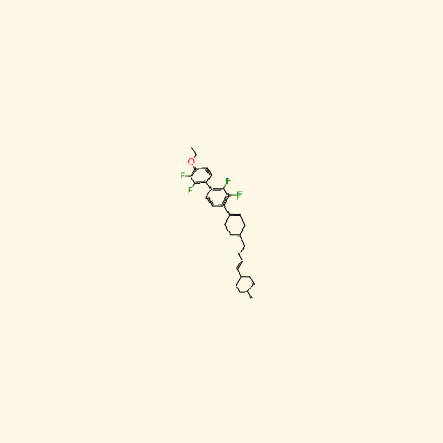 CCOc1ccc(-c2ccc(C3CCC(CC/C=C/C4CCC(C)CC4)CC3)c(F)c2F)c(F)c1F